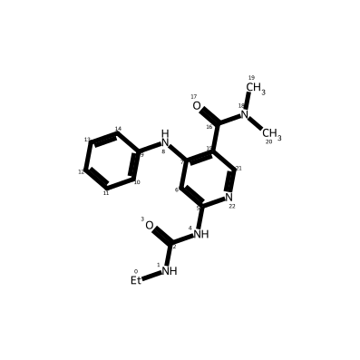 CCNC(=O)Nc1cc(Nc2ccccc2)c(C(=O)N(C)C)cn1